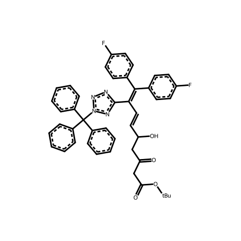 CC(C)(C)OC(=O)CC(=O)CC(O)C=CC(=C(c1ccc(F)cc1)c1ccc(F)cc1)c1nnn(C(c2ccccc2)(c2ccccc2)c2ccccc2)n1